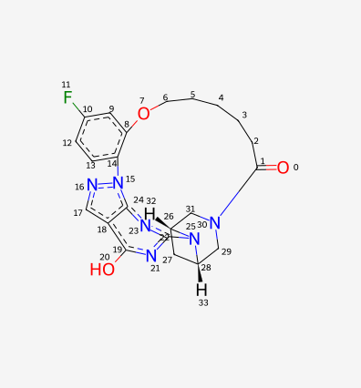 O=C1CCCCCOc2cc(F)ccc2-n2ncc3c(O)nc(nc32)N2[C@@H]3C[C@H]2CN1C3